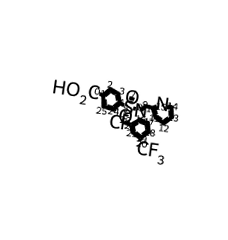 O=C(O)c1ccc(S(=O)(=O)N(Cc2ccccn2)c2ccc(C(F)(F)F)cc2Cl)cc1